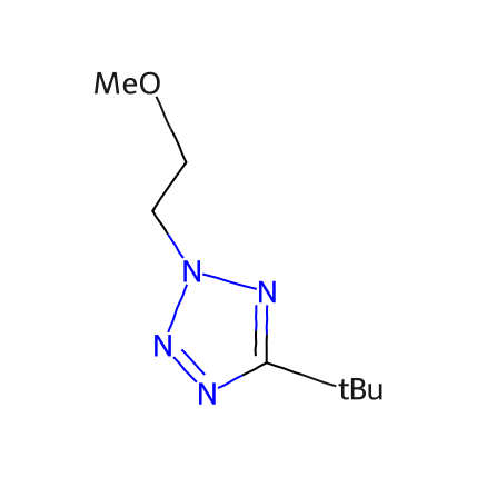 COCCn1nnc(C(C)(C)C)n1